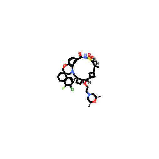 C[C@@H]1CN(CCO[C@H]2C3=CC(C3)[C@H](C)[C@@H](C)S(=O)(=O)NC(=O)c3ccc4c(c3)N(C[C@@H]3CC[C@H]32)C[C@@]2(CCCc3c2ccc(Cl)c3F)CO4)C[C@H](C)O1